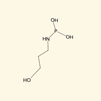 OCCCNP(O)O